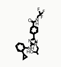 CC(O)Cn1nc(-c2ccc(C(=O)NCC(F)(F)F)cc2)nc1Nc1ccccc1C1CC1